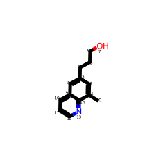 Cc1cc(CCCO)cc2cccnc12